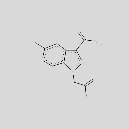 Cc1cc2c(C(N)=O)nn(CC(=O)O)c2cn1